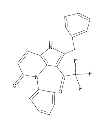 O=C(c1c(Cc2ccccc2)[nH]c2ccc(=O)n(-c3ccccc3)c12)C(F)(F)F